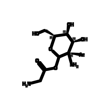 CC(=O)[C@]1(N)C(OC(=O)CN)O[C@H](CO)[C@@H](O)[C@@H]1O